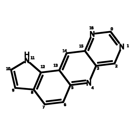 c1ncc2nc3ccc4cc[nH]c4c3cc2n1